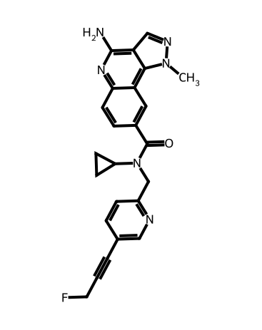 Cn1ncc2c(N)nc3ccc(C(=O)N(Cc4ccc(C#CCF)cn4)C4CC4)cc3c21